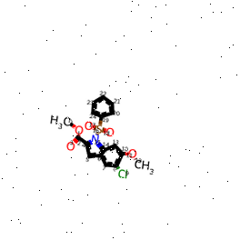 COC(=O)c1cc2cc(Cl)c(OC)cc2n1S(=O)(=O)c1ccccc1